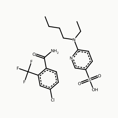 CCCCN(CC)c1ccc(S(=O)(=O)O)cn1.NC(=O)c1ccc(Cl)cc1C(F)(F)F